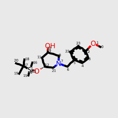 COc1ccc(CN2CC(O)C[C@@H](O[Si](C)(C)C(C)(C)C)C2)cc1